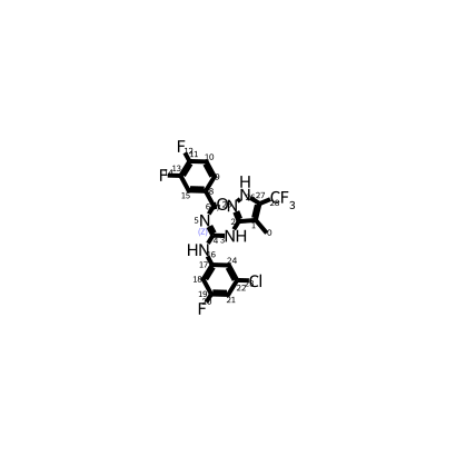 Cc1c(N/C(=N\C(=O)c2ccc(F)c(F)c2)Nc2cc(F)cc(Cl)c2)n[nH]c1C(F)(F)F